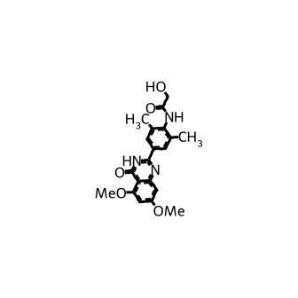 COc1cc(OC)c2c(=O)[nH]c(-c3cc(C)c(NC(=O)CO)c(C)c3)nc2c1